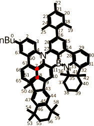 CCCCc1ccc(N2c3cc4c(cc3B3c5c(cc(-c6c(C)cc(C)cc6C)cc52)-c2cccc5c2N3C2(C)CCCCC52C)-c2cc3c(cc2C4(C)C)C(C)(C)CCC3(C)C)c(-c2ccccc2)c1